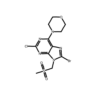 CS(=O)(=O)Cn1c(Br)nc2c(N3CCOCC3)nc(Cl)nc21